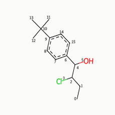 CCC(Cl)C(O)c1ccc(C(C)(C)C)cc1